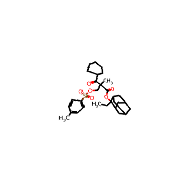 CCC1(OC(=O)C(C)(COS(=O)(=O)c2ccc(C)cc2)C(=O)C2CCCCC2)C2CC3CC(C2)CC1C3